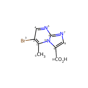 Cc1c(Br)cnc2ncc(C(=O)O)n12